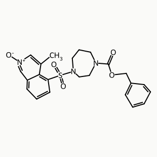 Cc1c[n+]([O-])cc2cccc(S(=O)(=O)N3CCCN(C(=O)OCc4ccccc4)CC3)c12